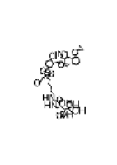 COCCN(CCCCCNC(=O)N[C@@H](CO)[C@@H](O)[C@H](O)[C@H](O)CO)S(=O)(=O)c1ccc(Cl)c(COC2(c3cnccc3-c3ccccc3OC3CC3)CC2)c1